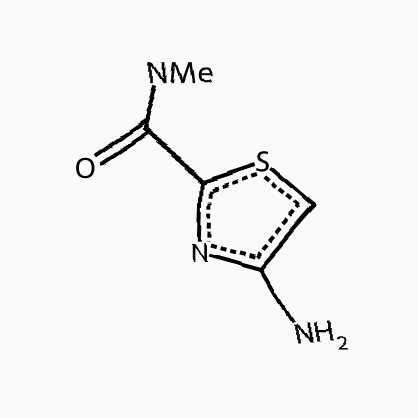 CNC(=O)c1nc(N)cs1